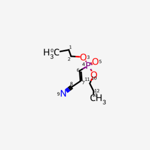 CCCOP(=O)(C=CC#N)OCCC